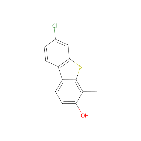 Cc1c(O)ccc2c1sc1cc(Cl)ccc12